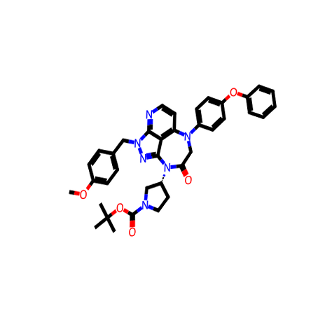 COc1ccc(Cn2nc3c4c(ccnc42)N(c2ccc(Oc4ccccc4)cc2)CC(=O)N3[C@@H]2CCN(C(=O)OC(C)(C)C)C2)cc1